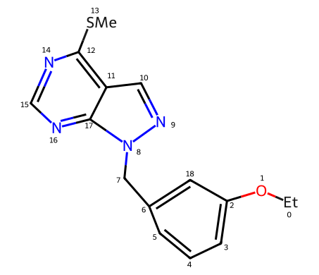 CCOc1cccc(Cn2ncc3c(SC)ncnc32)c1